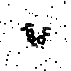 COC(=O)c1ccc2c(c1)nc(N)n2C1CCCN(C(=O)OC(C)(C)C)C1